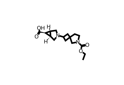 CCOC(=O)N1CCC2(CC(N3C[C@@H]4[C@H](C3)[C@@H]4C(=O)O)C2)C1